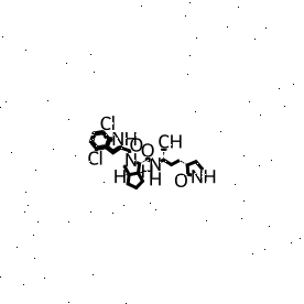 C#C[C@H](CC[C@@H]1CCNC1=O)NC(=O)[C@@H]1[C@H]2CCC[C@H]2CN1C(=O)c1cc2c(Cl)ccc(Cl)c2[nH]1